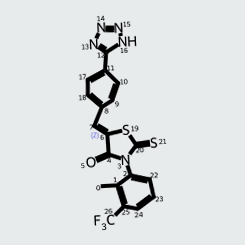 Cc1c(N2C(=O)/C(=C/c3ccc(-c4nnn[nH]4)cc3)SC2=S)cccc1C(F)(F)F